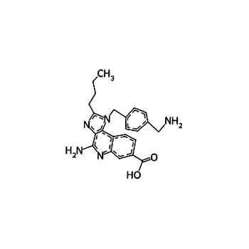 CCCCc1nc2c(N)nc3cc(C(=O)O)ccc3c2n1Cc1ccc(CN)cc1